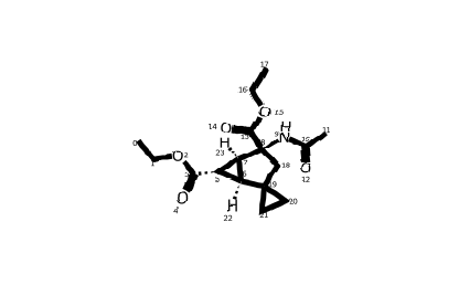 CCOC(=O)[C@H]1[C@H]2[C@@H]1[C@](NC(C)=O)(C(=O)OCC)CC21CC1